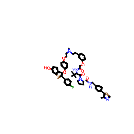 Cc1ncsc1-c1ccc(CNC(=O)[C@@H]2CCCN2C(=O)C(NC(=O)COc2cccc(CCN(C)CCOc3ccc(Oc4c(-c5ccc(F)cc5)sc5cc(O)ccc45)cc3)c2)C(C)(C)C)cc1